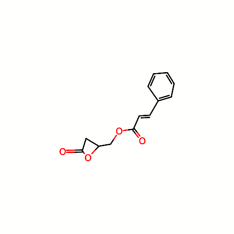 O=C(/C=C/c1ccccc1)OCC1CC(=O)O1